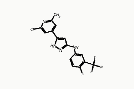 Cc1cc(-c2cc(Nc3ccc(F)c(C(F)(F)F)c3)n[nH]2)cc(Cl)n1